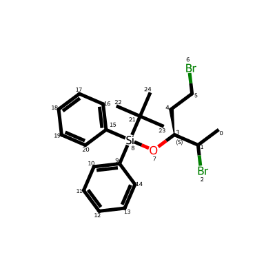 CC(Br)[C@H](CCBr)O[Si](c1ccccc1)(c1ccccc1)C(C)(C)C